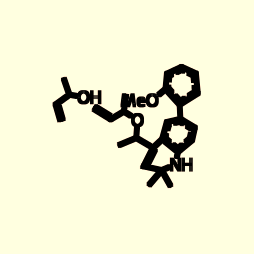 C=CC(C)O.C=CC(C)OC(C)C1=CC(C)(C)Nc2ccc(-c3ccccc3OC)cc21